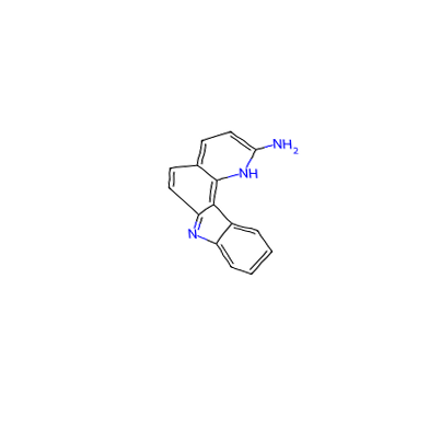 Nc1ccc2ccc3nc4ccccc4c3c2[nH]1